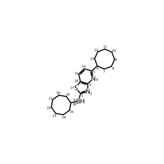 B(c1nc2nc(C3CCCCCCC3)ccc2s1)C1CCCCCCC1